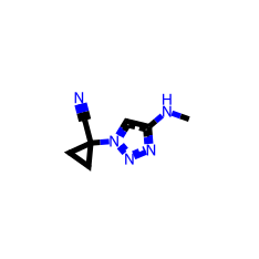 CNc1cn(C2(C#N)CC2)nn1